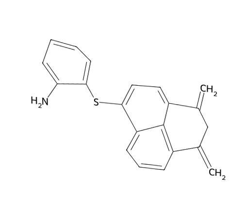 C=C1CC(=C)c2ccc(Sc3ccccc3N)c3cccc1c23